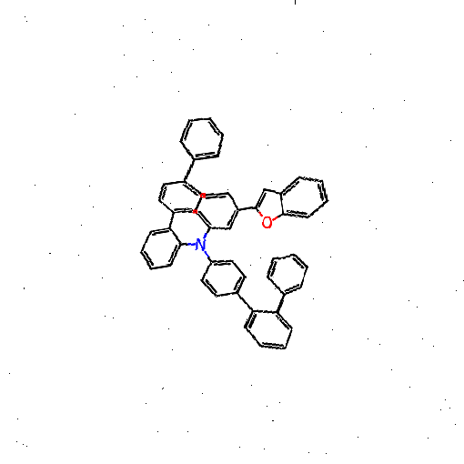 c1ccc(-c2ccc(-c3ccccc3N(c3ccc(-c4ccccc4-c4ccccc4)cc3)c3cccc(-c4cc5ccccc5o4)c3)cc2)cc1